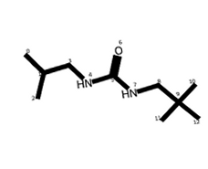 CC(C)CNC(=O)NCC(C)(C)C